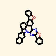 c1ccc2cc3c(cc2c1)c1ccccc1n3-c1nc2c(nc1-c1ccc3c(c1)oc1ccccc13)oc1ccccc12